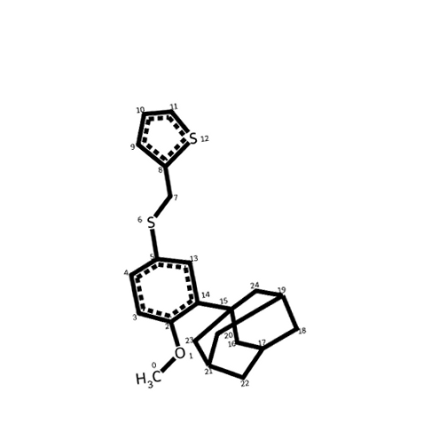 COc1ccc(SCc2cccs2)cc1C12CC3CC(CC(C3)C1)C2